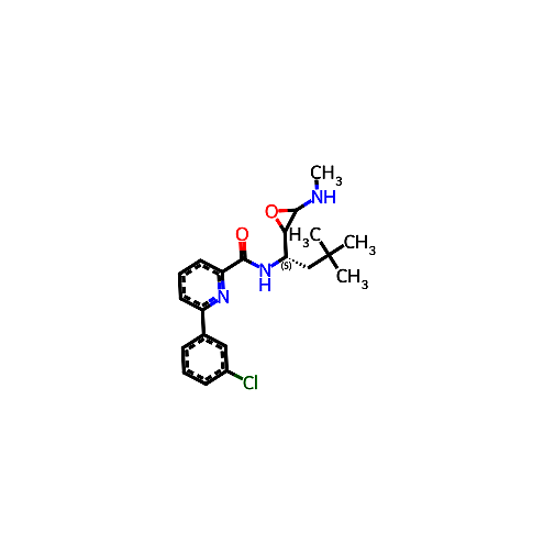 CNC1OC1[C@H](CC(C)(C)C)NC(=O)c1cccc(-c2cccc(Cl)c2)n1